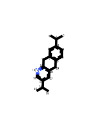 CC(C)c1ccc2c(c1)Cc1ncc(C(C)C)cc1C2